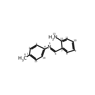 Cc1ccc(/N=C/c2ccccc2N)cc1